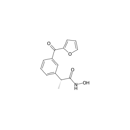 C[C@@H](C(=O)NO)c1cccc(C(=O)c2ccco2)c1